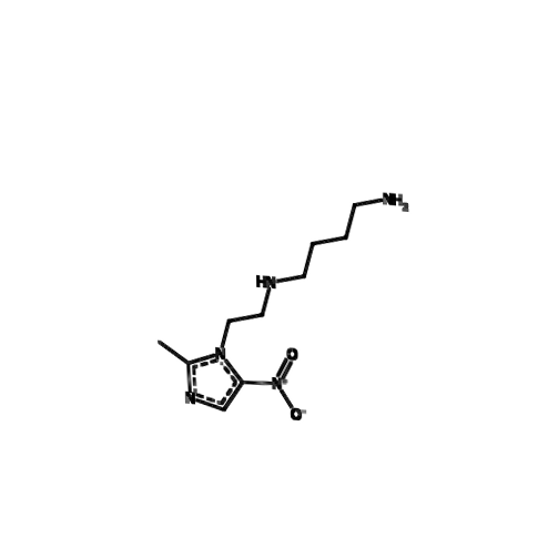 Cc1ncc([N+](=O)[O-])n1CCNCCCCN